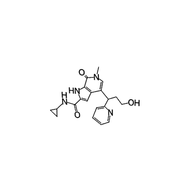 Cn1cc(C(CCO)c2ccccn2)c2cc(C(=O)NC3CC3)[nH]c2c1=O